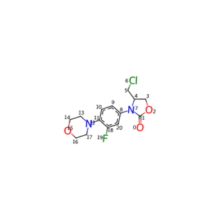 O=C1OCC(CCl)N1c1ccc(N2CCOCC2)c(F)c1